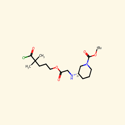 CC(C)(C)OC(=O)N1CCC[C@H](NCC(=O)OCCCC(C)(C)C(=O)Cl)C1